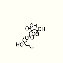 CCCCC(O)(CC)COC(=O)CC(O)(CC(=O)O)C(=O)O